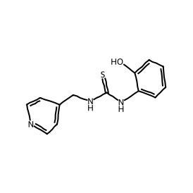 Oc1ccccc1NC(=S)NCc1ccncc1